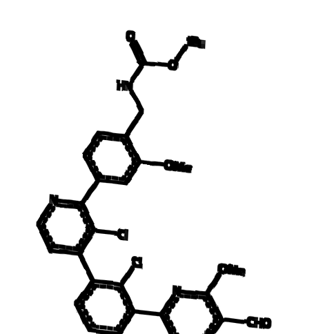 COc1cc(-c2nccc(-c3cccc(-c4ccc(C=O)c(OC)n4)c3Cl)c2Cl)ccc1CNC(=O)OC(C)(C)C